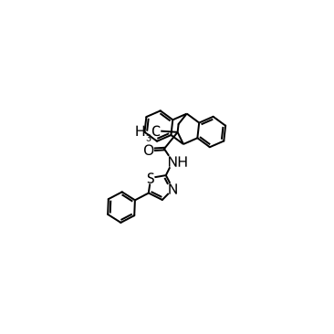 CC1(C(=O)Nc2ncc(-c3ccccc3)s2)CC2c3ccccc3C1c1ccccc12